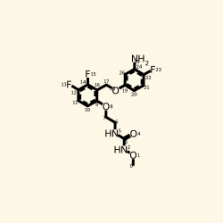 CONC(=O)NCCOc1ccc(F)c(F)c1COc1ccc(F)c(N)c1